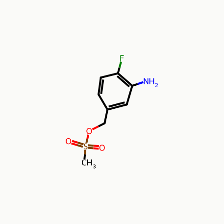 CS(=O)(=O)OCc1ccc(F)c(N)c1